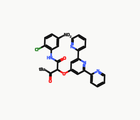 CC(C)(C)C(=O)C(Oc1cc(-c2ccccn2)nc(-c2ccccn2)c1)C(=O)Nc1cc([N+](=O)[O-])ccc1Cl